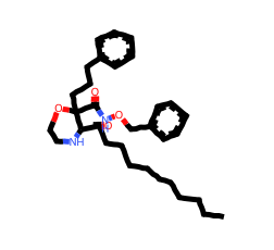 CCCCCCCCCCC(=O)C1NCCOC1(CCCc1ccccc1)C(=O)NOCc1ccccc1